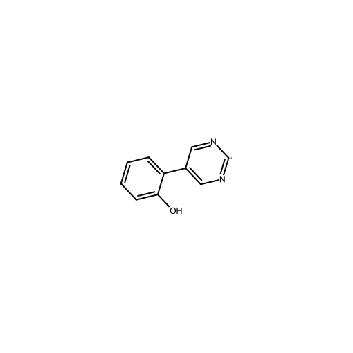 Oc1ccccc1-c1cn[c]nc1